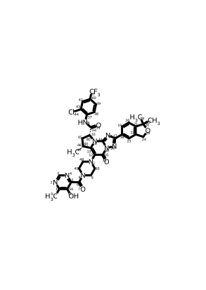 Cc1ncnc(C(=O)N2CCN(c3c4n(c5nc(-c6ccc7c(c6)COC7(C)C)nn5c3=O)[C@@H](C(=O)Nc3ccc(C(F)(F)F)cc3Cl)C[C@H]4C)CC2)c1O